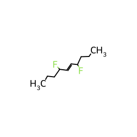 CCCC(F)C=CC(F)CCC